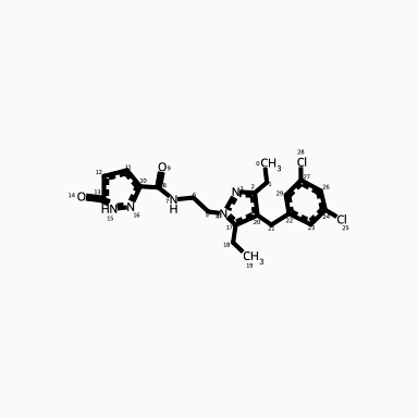 CCc1nn(CCNC(=O)c2ccc(=O)[nH]n2)c(CC)c1Cc1cc(Cl)cc(Cl)c1